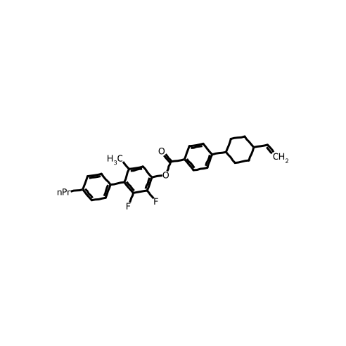 C=CC1CCC(c2ccc(C(=O)Oc3cc(C)c(-c4ccc(CCC)cc4)c(F)c3F)cc2)CC1